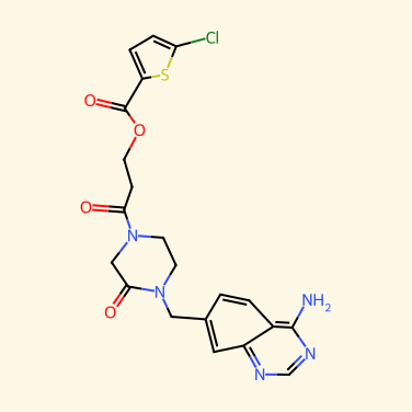 Nc1ncnc2cc(CN3CCN(C(=O)CCOC(=O)c4ccc(Cl)s4)CC3=O)ccc12